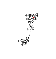 Cn1c(=O)n(C2CCC(=O)NC2O)c2ccc(CCCCCNC(=O)[C@@H]3CCC(NC(=O)[C@@H]4NC5(CCC(C)(C)CC5)[C@@]5(C(=O)Nc6cc(Cl)ccc65)[C@H]4c4ccnc(Cl)c4F)CO3)cc21